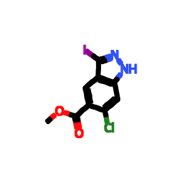 COC(=O)c1cc2c(I)n[nH]c2cc1Cl